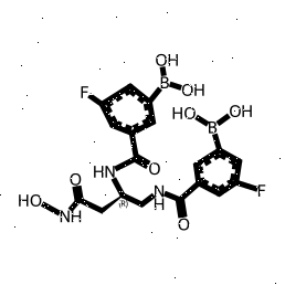 O=C(C[C@H](CNC(=O)c1cc(F)cc(B(O)O)c1)NC(=O)c1cc(F)cc(B(O)O)c1)NO